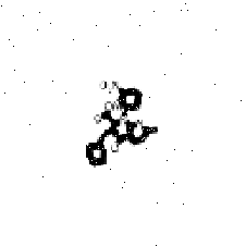 COC(=O)c1c(Cc2ccccc2)c(=O)c2ccc(C)nc2n1-c1cccc([N+](=O)[O-])c1